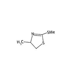 CSC1=NC(C)CS1